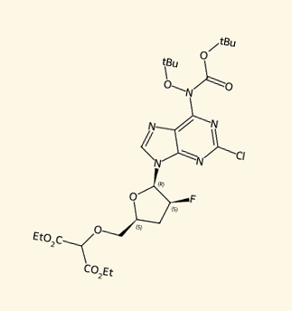 CCOC(=O)C(OC[C@@H]1C[C@H](F)[C@H](n2cnc3c(N(OC(C)(C)C)C(=O)OC(C)(C)C)nc(Cl)nc32)O1)C(=O)OCC